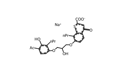 CCCc1c(OCC(O)COc2ccc3c(=O)cc(C(=O)[O-])sc3c2CCC)ccc(C(C)=O)c1O.[Na+]